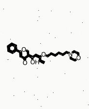 C=C/C(=C\C(O)=C1/COC(c2ccccc2)=CC1=O)OCCCCCCN1CCOCC1